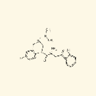 CN(C)C[C@H]1Cc2cc(F)ccc2N(C(=O)[C@H](N)Cc2c[nH]c3ccccc23)C1